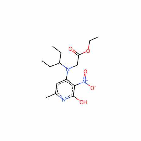 CCOC(=O)CN(c1cc(C)nc(O)c1[N+](=O)[O-])C(CC)CC